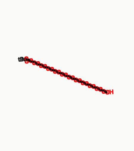 CC(C)(C)OC(=O)CCOCCOCCOCCOCCOCCOCCOCCOCCOCCOCCOCCOCCOCCOCCOCCOCCOCCOCCOCCOCCOCCOCCO